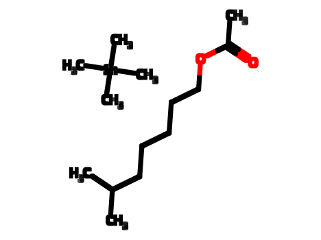 CC(=O)OCCCCCC(C)C.[CH3][Sn]([CH3])([CH3])[CH3]